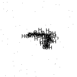 C[C@@H](O)[C@H](NC(=O)CNC(=O)[C@H](CS)NC(=O)CNC(=O)[C@@H](N)Cc1ccc(O)cc1)C(=O)N[C@@H](CO)C(=O)N[C@@H](CS)C(=O)N[C@@H](CO)C(=O)O